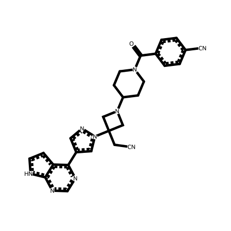 N#CCC1(n2cc(-c3ncnc4[nH]ccc34)cn2)CN(C2CCN(C(=O)c3ccc(C#N)cc3)CC2)C1